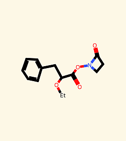 CCOC(Cc1ccccc1)C(=O)ON1CCC1=O